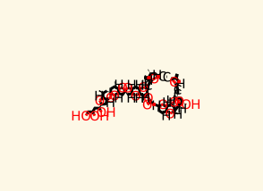 C=C1C[C@@H]2CC[C@]34C[C@H](O)[C@@H](O3)[C@H]3C[C@@H](O4)[C@H]4O[C@H](CC[C@@H]4O3)CC(=O)O[C@@H]3[C@@H](C)[C@@H]4O[C@@H]5C[C@]6(C[C@@H]7O[C@]8(C[C@H](C)[C@@H]9O[C@H](C(O)CC(O)CO)C[C@@H]9O8)C[C@H](C)[C@@H]7O6)O[C@@H]5C[C@@H]4O[C@H]3C[C@H]3O[C@@H](CCC1O2)C[C@@H](C)C3=C